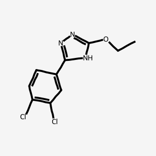 CCOc1nnc(-c2ccc(Cl)c(Cl)c2)[nH]1